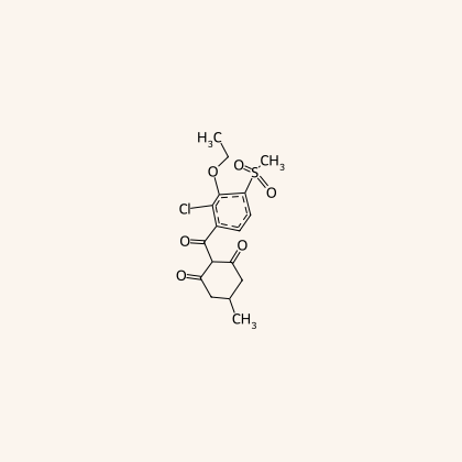 CCOc1c(S(C)(=O)=O)ccc(C(=O)C2C(=O)CC(C)CC2=O)c1Cl